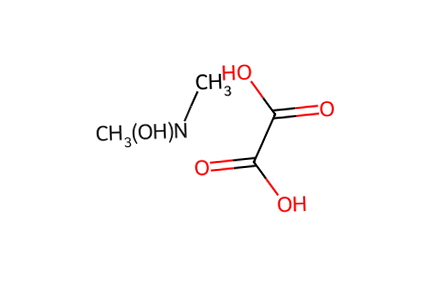 CN(C)O.O=C(O)C(=O)O